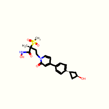 C[C@@](CCn1ccc(-c2ccc([C@H]3C[C@H](O)C3)cc2)cc1=O)(C(=O)NO)S(C)(=O)=O